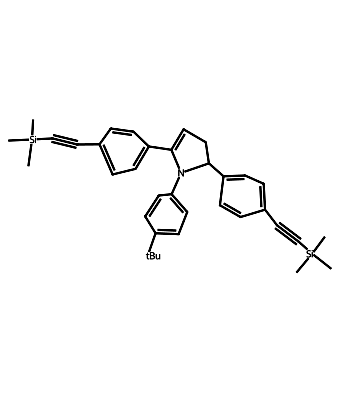 CC(C)(C)c1ccc(N2C(c3ccc(C#C[Si](C)(C)C)cc3)=CCC2c2ccc(C#C[Si](C)(C)C)cc2)cc1